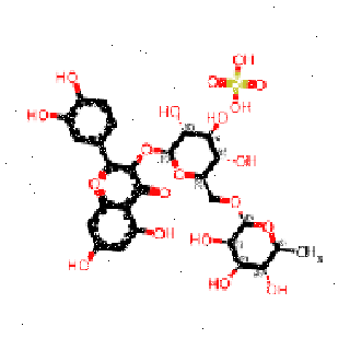 C[C@@H]1O[C@@H](OC[C@H]2O[C@@H](Oc3c(-c4ccc(O)c(O)c4)oc4cc(O)cc(O)c4c3=O)[C@H](O)[C@@H](O)[C@@H]2O)[C@H](O)[C@H](O)[C@H]1O.O=S(=O)(O)O